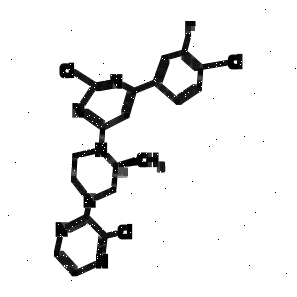 C[C@H]1CN(c2nccnc2Cl)CCN1c1cc(-c2ccc(Cl)c(F)c2)nc(Cl)n1